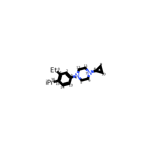 CCc1cc(N2CCN(C3CC3)CC2)ccc1C(C)C